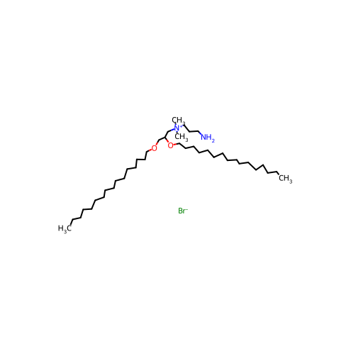 CCCCCCCCCCCCCCCCOCC(C[N+](C)(C)CCCN)OCCCCCCCCCCCCCCCC.[Br-]